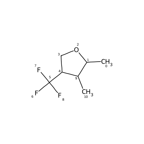 CC1OCC(C(F)(F)F)C1C